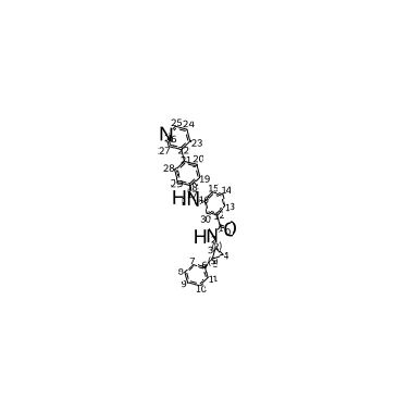 O=C(N[C@@H]1C[C@H]1c1ccccc1)c1cccc(Nc2ccc(-c3cccnc3)cc2)c1